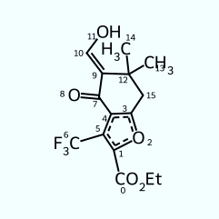 CCOC(=O)c1oc2c(c1C(F)(F)F)C(=O)C(=CO)C(C)(C)C2